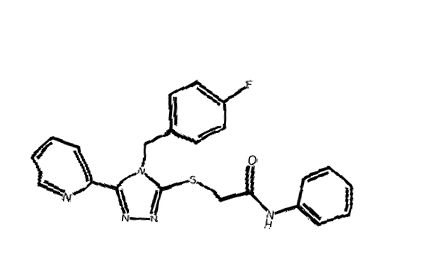 O=C(CSc1nnc(-c2ccccn2)n1Cc1ccc(F)cc1)Nc1ccccc1